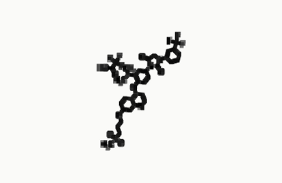 CC(C)c1cc(N2C(=O)CN(c3cccc(C(F)(F)F)c3)C2=O)ccc1Oc1ccnc2cc(OCCCS(C)(=O)=O)ccc12.O=C(O)C(F)(F)F